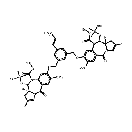 COc1cc2c(cc1OCc1cc(C=CC(=O)O)cc(COc3cc4c(cc3OC)C(=O)N3C=C(C)C[C@H]3[C@H](O[Si](C)(C)C(C)(C)C)N4C(=O)OC(C)(C)C)c1)N(C(=O)OC(C)(C)C)[C@@H](O[Si](C)(C)C(C)(C)C)[C@@H]1CC(C)=CN1C2=O